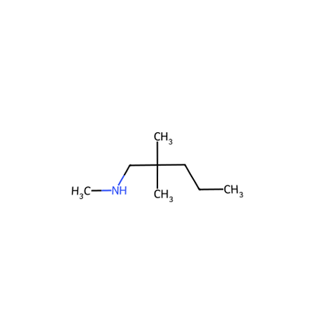 CCCC(C)(C)CNC